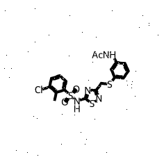 CC(=O)Nc1cccc(SCc2nsc(NS(=O)(=O)c3cccc(Cl)c3C)n2)c1